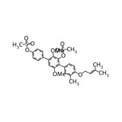 COc1cc(-c2ccc(OS(C)(=O)=O)cc2)c(OC)c(OS(C)(=O)=O)c1-c1ccc(OCC=C(C)C)c(C)c1